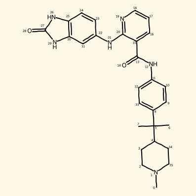 CN1CCC(C(C)(C)c2ccc(NC(=O)c3cccnc3Nc3ccc4[nH]c(=O)[nH]c4c3)cc2)CC1